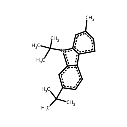 Cc1ccc2c3ccc(C(C)(C)C)cc3n(C(C)(C)C)c2c1